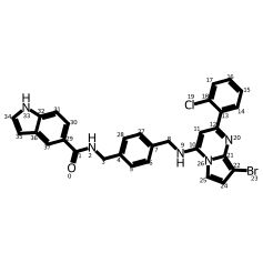 O=C(NCc1ccc(CNc2cc(-c3ccccc3Cl)nc3c(Br)ccn23)cc1)c1ccc2[nH]ccc2c1